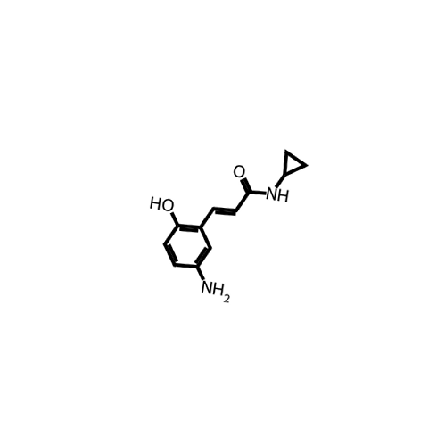 Nc1ccc(O)c(C=CC(=O)NC2CC2)c1